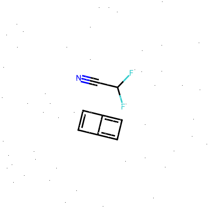 N#CC(F)F.c1cc2ccc1-2